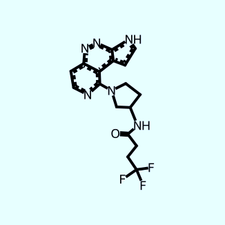 O=C(CCC(F)(F)F)NC1CCN(c2nccc3nnc4[nH]ccc4c23)C1